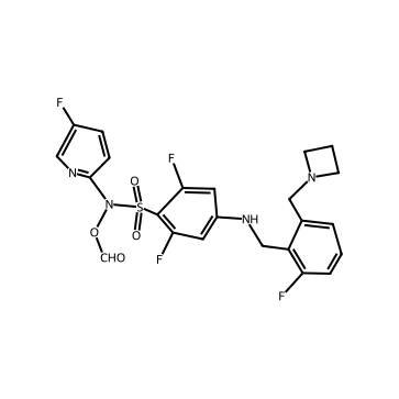 O=CON(c1ccc(F)cn1)S(=O)(=O)c1c(F)cc(NCc2c(F)cccc2CN2CCC2)cc1F